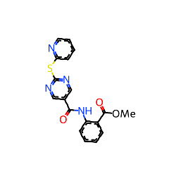 COC(=O)c1ccccc1NC(=O)c1cnc(Sc2ccccn2)nc1